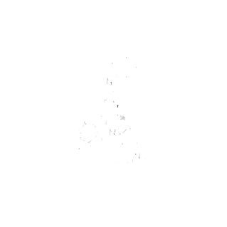 CN(C)CCC(=O)NC(Cc1ccc(Cl)cc1)C(=O)N1CC(NC2CCCC2)C1